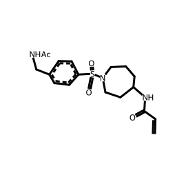 C=CC(=O)NC1CCCN(S(=O)(=O)c2ccc(CNC(C)=O)cc2)CC1